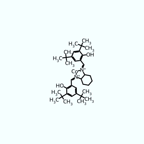 CC(C)(C)c1cc(C=[N+]2[Co][N+](=Cc3cc(C(C)(C)C)cc(C(C)(C)C)c3O)C3CCCCC32)c(O)c(C(C)(C)C)c1